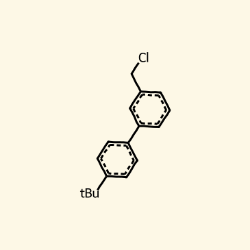 CC(C)(C)c1ccc(-c2cccc(CCl)c2)cc1